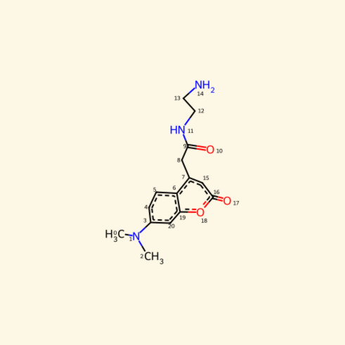 CN(C)c1ccc2c(CC(=O)NCCN)cc(=O)oc2c1